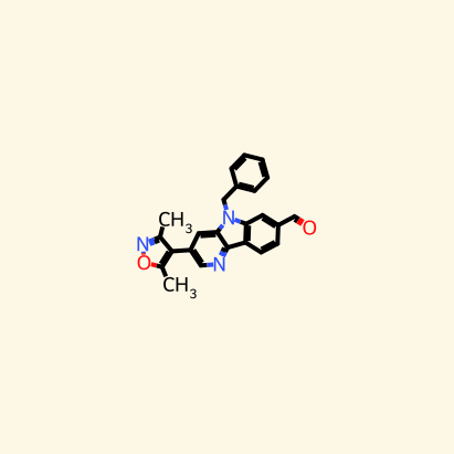 Cc1noc(C)c1-c1cnc2c3ccc(C=O)cc3n(Cc3ccccc3)c2c1